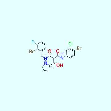 C[C@]12CCCN1N(Cc1cccc(F)c1Br)C(=O)C(C(=O)Nc1ccc(Br)c(Cl)c1)=C2O